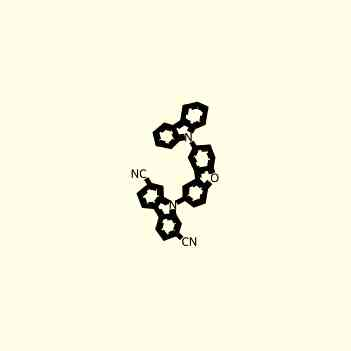 N#Cc1ccc2c3ccc(C#N)cc3n(-c3ccc4oc5ccc(-n6c7ccccc7c7ccccc76)cc5c4c3)c2c1